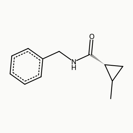 CC1C[C@H]1C(=O)NCc1ccccc1